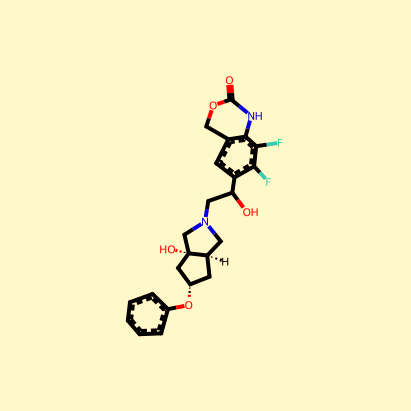 O=C1Nc2c(cc(C(O)CN3C[C@H]4C[C@H](Oc5ccccc5)C[C@@]4(O)C3)c(F)c2F)CO1